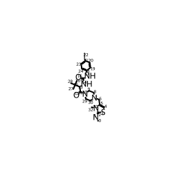 C/N=c1\scc(CN2CCN(C(=O)[C@H](NC(=O)Nc3ccc(I)cc3)C(C)(C)C)CC2)n1C